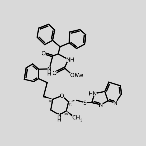 COC(=O)NC(C(=O)Nc1ccccc1CC[C@@H]1CN[C@H](C)[C@@H](CSc2nc3ncccc3[nH]2)O1)C(c1ccccc1)c1ccccc1